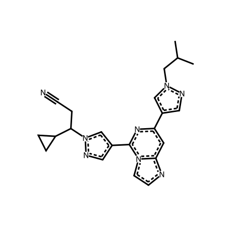 CC(C)Cn1cc(-c2cc3nccn3c(-c3cnn(C(CC#N)C4CC4)c3)n2)cn1